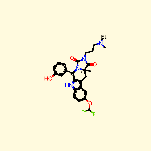 CCN(C)CCCN1C(=O)N2[C@H](c3cccc(O)c3)c3[nH]c4ccc(OC(F)F)cc4c3C[C@@]2(C)C1=O